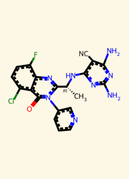 C[C@@H](Nc1nc(N)nc(N)c1C#N)c1nc2c(F)ccc(Cl)c2c(=O)n1-c1cccnc1